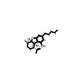 C=C(C)[C@@H]1CC[C@@H](C)[C@H]2Oc3cc(CCCCC)cc(O)c3[C@H]21